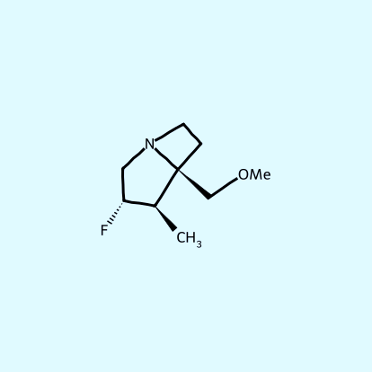 COC[C@]12CCN1C[C@@H](F)[C@@H]2C